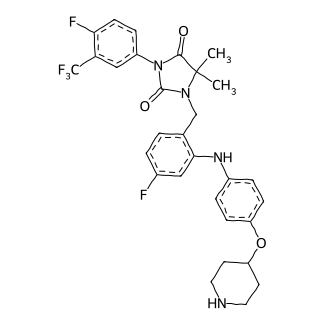 CC1(C)C(=O)N(c2ccc(F)c(C(F)(F)F)c2)C(=O)N1Cc1ccc(F)cc1Nc1ccc(OC2CCNCC2)cc1